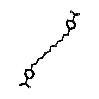 O=C(Cl)c1ccc(OCCCOCCOCCCOc2ccc(C(=O)Cl)cc2)cc1